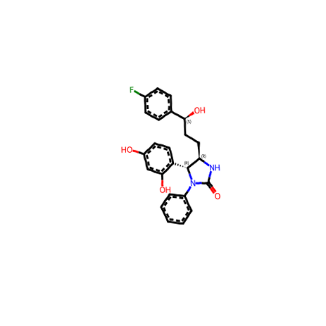 O=C1N[C@H](CC[C@H](O)c2ccc(F)cc2)[C@@H](c2ccc(O)cc2O)N1c1ccccc1